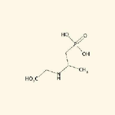 CC(CP(=O)(O)O)NCC(=O)O